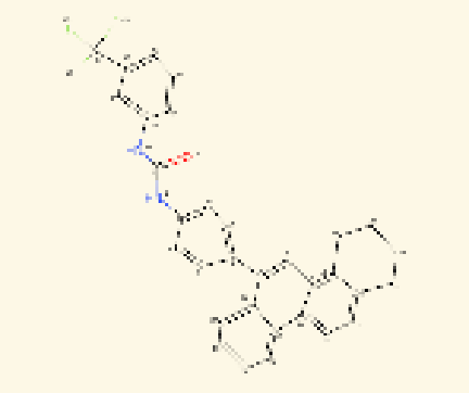 O=C(Nc1ccc(-c2cc3c4c(ccc3c3ccccc23)CCCC4)cc1)Nc1cccc(C(F)(F)F)c1